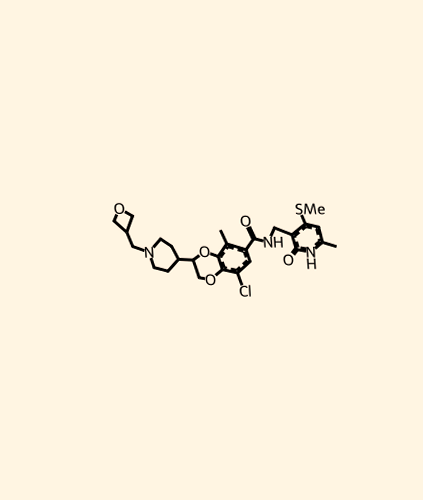 CSc1cc(C)[nH]c(=O)c1CNC(=O)c1cc(Cl)c2c(c1C)OC(C1CCN(CC3COC3)CC1)CO2